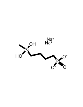 C[Si](O)(O)CCCCP(=O)([O-])[O-].[Na+].[Na+]